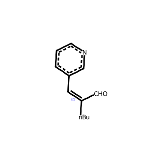 CCCC/C(C=O)=C/c1cccnc1